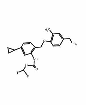 CCc1ccc(OCc2ccc(C3CC3)cc2NC(=O)OC(F)F)c(C)c1